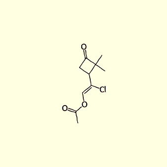 CC(=O)O/C=C(\Cl)C1CC(=O)C1(C)C